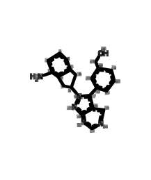 Nc1cccc2c1CC(n1nc3ncncc3c1-c1cccc(CO)c1)C2